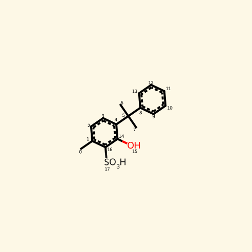 Cc1ccc(C(C)(C)c2ccccc2)c(O)c1S(=O)(=O)O